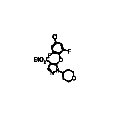 CCOC(=O)c1cnn(C2CCOCC2)c1Oc1c(F)cc(Cl)cc1F